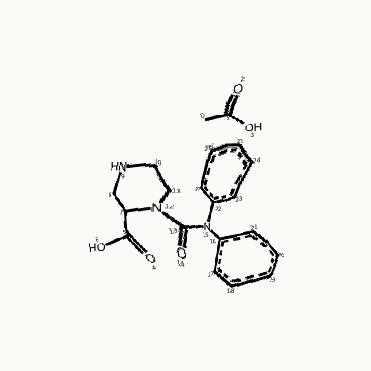 CC(=O)O.O=C(O)C1CNCCN1C(=O)N(c1ccccc1)c1ccccc1